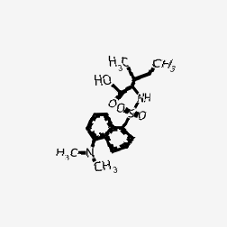 CCC(C)C(NS(=O)(=O)c1cccc2c(N(C)C)cccc12)C(=O)O